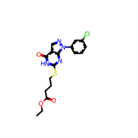 CCOC(=O)CCCSc1nc2c(cnn2-c2cccc(Cl)c2)c(=O)[nH]1